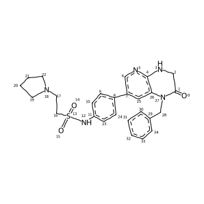 O=C1CNc2ncc(-c3ccc(NS(=O)(=O)CCN4CCCC4)cc3)cc2N1Cc1ccccc1